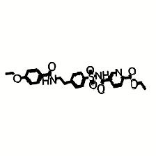 CCOC(=O)c1ccc(C(=O)NS(=O)(=O)c2ccc(CCNC(=O)c3ccc(OCC)cc3)cc2)cn1